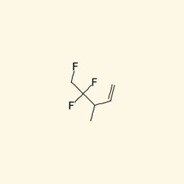 C=CC(C)C(F)(F)CF